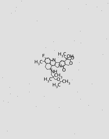 CC[C@@]1(O)C(=O)OCc2c1cc1n(c2=O)Cc2c-1nc1cc(F)c(C)c3c1c2[C@@H](NCC(C)(C)COC(C)C)CC3